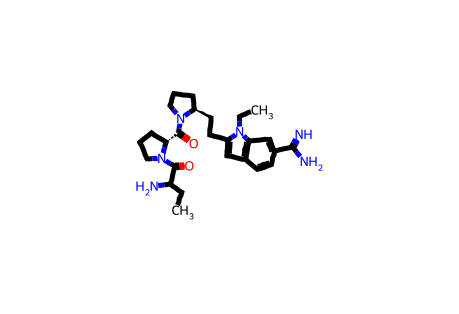 CCC(N)C(=O)N1CCC[C@@H]1C(=O)N1CCC[C@H]1CCc1cc2ccc(C(=N)N)cc2n1CC